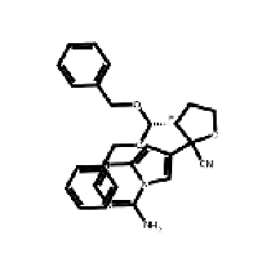 N#CC1(c2cc3ncnc(N)n3c2)OCC[C@H]1C(OCc1ccccc1)OCc1ccccc1